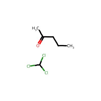 CCCC(C)=O.ClC(Cl)Cl